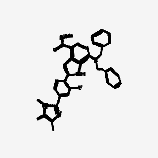 CNC(=O)c1cnc(N(Cc2ccccc2)Cc2ccccc2)c2[nH]c(-c3ccc(-c4nc(C)c(C)n4C)cc3F)cc12